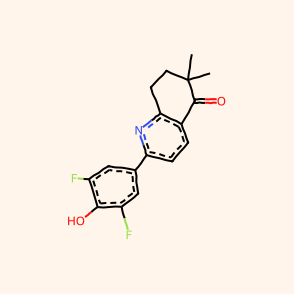 CC1(C)CCc2nc(-c3cc(F)c(O)c(F)c3)ccc2C1=O